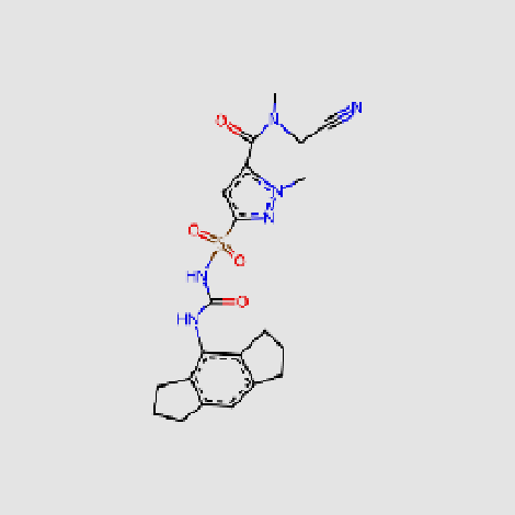 CN(CC#N)C(=O)c1cc(S(=O)(=O)NC(=O)Nc2c3c(cc4c2CCC4)CCC3)nn1C